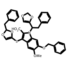 COc1cc2c(SC3=COC(Cc4ccccc4)O3)c(C(=O)O)n(C(Cc3ccccc3)C3=COCO3)c2cc1OCc1ccccc1